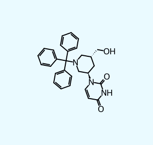 O=c1ccn([C@@H]2C[C@@H](CO)CN(C(c3ccccc3)(c3ccccc3)c3ccccc3)C2)c(=O)[nH]1